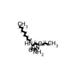 CCCCCCCCCNc1cc(OCCCC)nc(N)[n+]1[O-]